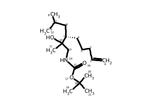 C=CCCC[C@@H](CC(C)C)C(C)(O)CNC(=O)OC(C)(C)C